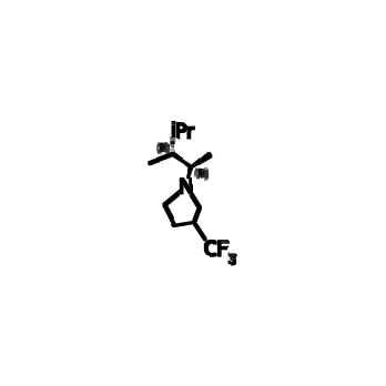 CC(C)[C@@H](C)[C@@H](C)N1CCC(C(F)(F)F)C1